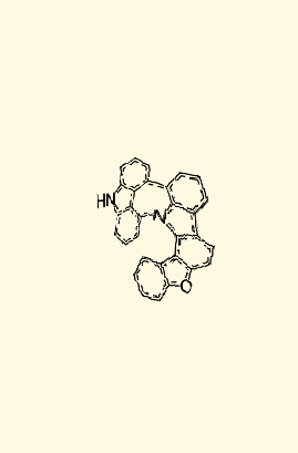 c1ccc2c(c1)oc1ccc3c4cccc5c6cccc7[nH]c8cccc(c8c76)n(c54)c3c12